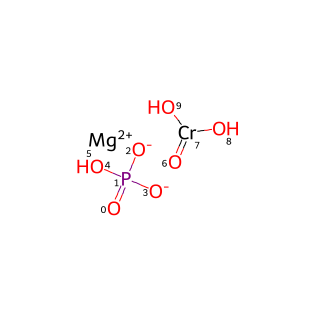 O=P([O-])([O-])O.[Mg+2].[O]=[Cr]([OH])[OH]